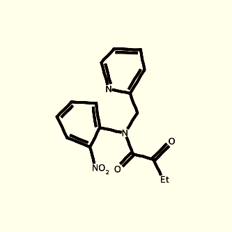 CCC(=O)C(=O)N(Cc1ccccn1)c1ccccc1[N+](=O)[O-]